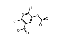 O=C(Cl)Oc1cc([N+](=O)[O-])c(Cl)nc1Cl